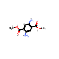 COC(=O)c1cc(N)c(C(=O)OC)cc1N